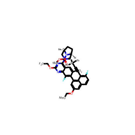 COCOc1cc(-c2c([N+](=O)[O-])cc3c(N4C[C@H]5CC[C@@H](C4)N5C(=O)OC(C)(C)C)nc(OCC(F)(F)F)nc3c2F)c2c(C#C[Si](C(C)C)(C(C)C)C(C)C)c(F)ccc2c1